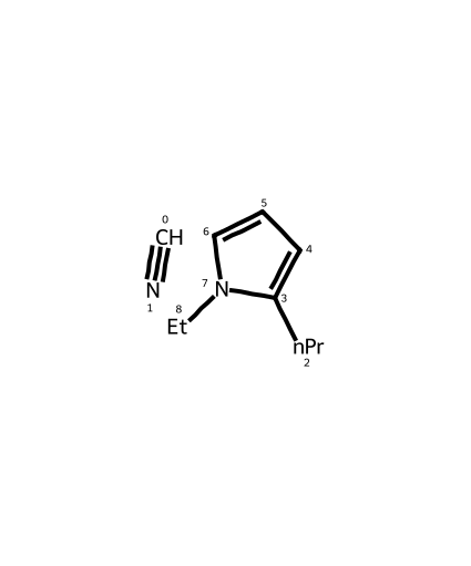 C#N.CCCc1cccn1CC